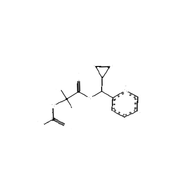 CC(C)(NC(=O)O)C(=O)NC(c1ccccn1)C1CC1